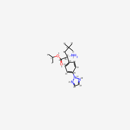 CC(C)OC(=O)[C@@](N)(CC(C)(C)C)c1ccc(-n2nccn2)cc1